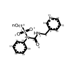 CCCCCCCCS(=O)(=O)N(C(=O)NCc1cccnc1)c1ccccc1